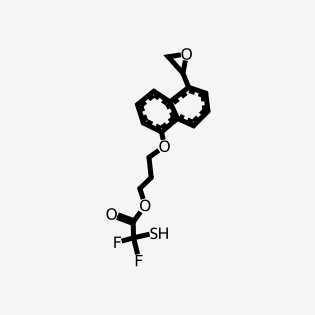 O=C(OCCCOc1cccc2c(C3CO3)cccc12)C(F)(F)S